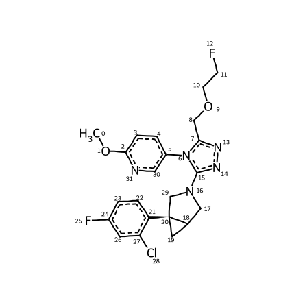 COc1ccc(-n2c(COCCF)nnc2N2CC3C[C@]3(c3ccc(F)cc3Cl)C2)cn1